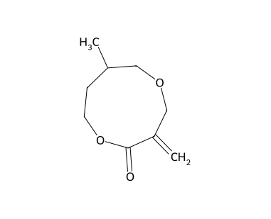 C=C1COCC(C)CCOC1=O